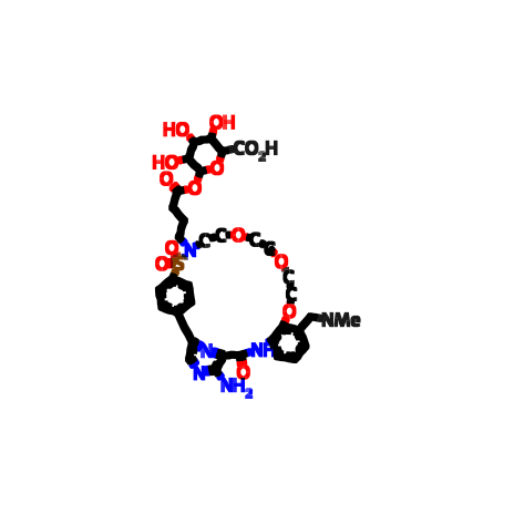 CNCc1cccc2c1OCCOCCOCCN(CCCC(=O)OC1OC(C(=O)O)C(O)C(O)C1O)S(=O)(=O)c1ccc(cc1)-c1cnc(N)c(n1)C(=O)N2